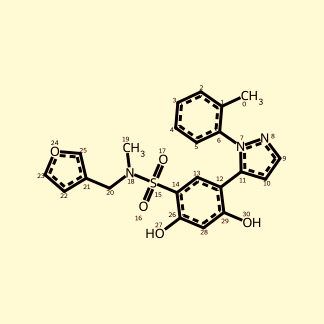 Cc1ccccc1-n1nccc1-c1cc(S(=O)(=O)N(C)Cc2ccoc2)c(O)cc1O